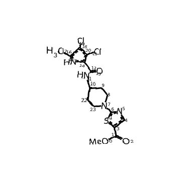 COC(=O)c1cnc(N2CCC(NC(=O)c3[nH]c(C)c(Cl)c3Cl)CC2)s1